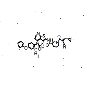 Cc1cc(Oc2ccccc2)ccc1N1C(=O)Nc2c(NC(=O)C3CCCN(C(=O)/C(C#N)=C/C4CC4)C3)sc3nccc1c23